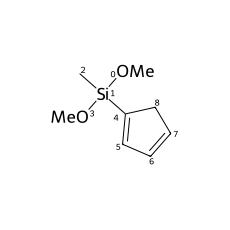 CO[Si](C)(OC)C1=CC=CC1